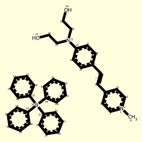 C[n+]1ccc(/C=C/c2ccc(N(CCO)CCO)cc2)cc1.c1ccc([B-](c2ccccc2)(c2ccccc2)c2ccccc2)cc1